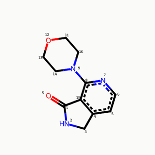 O=C1NCc2ccnc(N3CCOCC3)c21